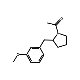 COc1cccc(CC2CCCN2C(C)=O)c1